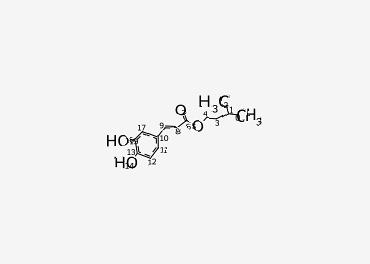 CC(C)CCOC(=O)/C=C/c1ccc(O)c(O)c1